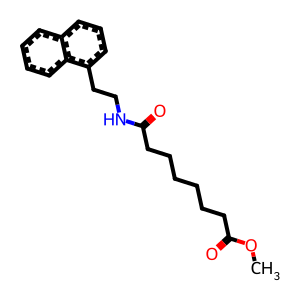 COC(=O)CCCCCCC(=O)NCCc1cccc2ccccc12